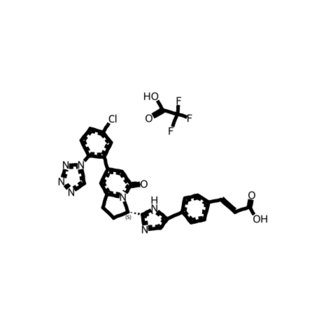 O=C(O)C(F)(F)F.O=C(O)C=Cc1ccc(-c2cnc([C@@H]3CCc4cc(-c5cc(Cl)ccc5-n5cnnn5)cc(=O)n43)[nH]2)cc1